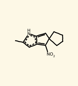 Cc1cc2c([nH]1)=CC1(CCCC1)C=2[N+](=O)[O-]